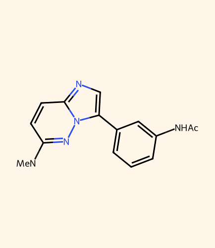 CNc1ccc2ncc(-c3cccc(NC(C)=O)c3)n2n1